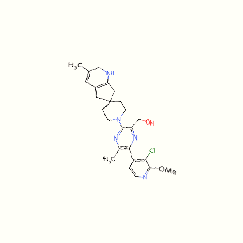 COc1nccc(-c2nc(CO)c(N3CCC4(CC3)CC3=C(C4)NCC(C)=C3)nc2C)c1Cl